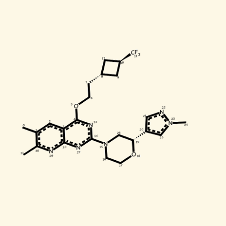 Cc1cc2c(OCC[C@H]3C[C@H](C(F)(F)F)C3)nc(N3CCO[C@@H](c4cnn(C)c4)C3)nc2nc1C